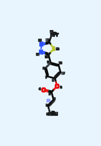 CCCC/C=C/C(=O)Oc1ccc(-c2nnc(CCC)s2)cc1